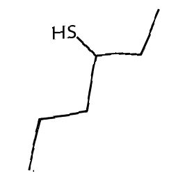 [CH2]CCC(S)CC